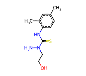 Cc1ccc(NC(=S)N(N)CCO)c(C)c1